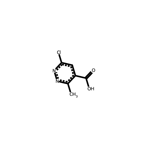 Cc1nnc(Cl)cc1C(=O)O